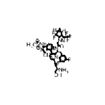 Cn1nc(NS(C)(=O)=O)c2cccc(-c3ccc(C#C[C@@H](N)CO)nc3[C@H](Cc3cc(F)cc(F)c3)NC(=O)Cn3nc(C(F)(F)F)c4c3C(F)(F)[C@@H]3C[C@H]43)c21